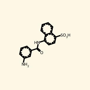 Nc1cccc(C(=O)Nc2ccc(S(=O)(=O)O)c3ccccc23)c1